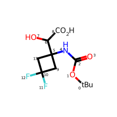 CC(C)(C)OC(=O)NC1(C(O)C(=O)O)CC(F)(F)C1